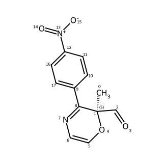 C[C@]1(C=O)OC=CN=C1c1ccc([N+](=O)[O-])cc1